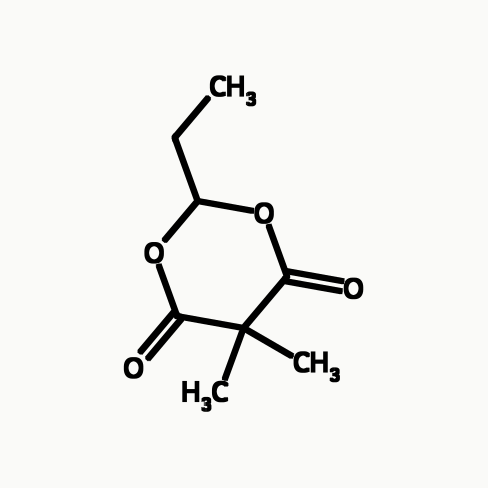 CCC1OC(=O)C(C)(C)C(=O)O1